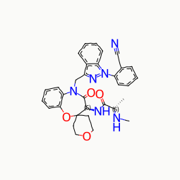 CN[C@@H](C)C(=O)N[C@@H]1C(=O)N(Cc2nn(-c3ccccc3C#N)c3ccccc23)c2ccccc2OC12CCOCC2